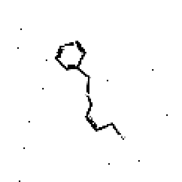 BrC/C=C\COCc1ccccc1